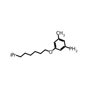 Cc1cc(P)cc(OCCCCCCC(C)C)c1